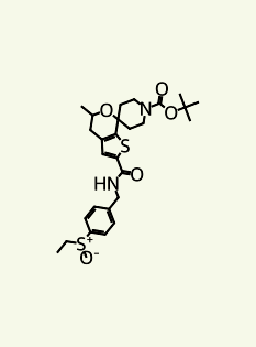 CC[S+]([O-])c1ccc(CNC(=O)c2cc3c(s2)C2(CCN(C(=O)OC(C)(C)C)CC2)OC(C)C3)cc1